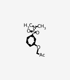 CC(=O)COc1cccc(S(=O)(=O)N(C)C)c1